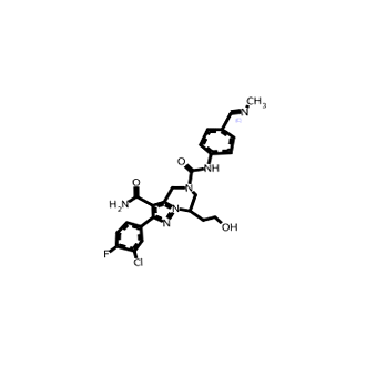 C/N=C/c1ccc(NC(=O)N2Cc3c(C(N)=O)c(-c4ccc(F)c(Cl)c4)nn3C(CCO)C2)cc1